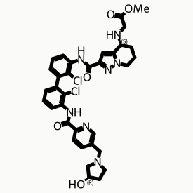 COC(=O)CN[C@H]1CCCn2nc(C(=O)Nc3cccc(-c4cccc(NC(=O)c5ccc(CN6CC[C@@H](O)C6)cn5)c4Cl)c3Cl)cc21